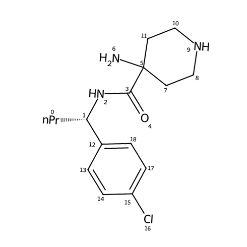 CCC[C@H](NC(=O)C1(N)CCNCC1)c1ccc(Cl)cc1